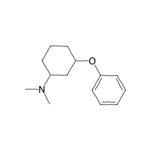 CN(C)C1CCCC(Oc2ccccc2)C1